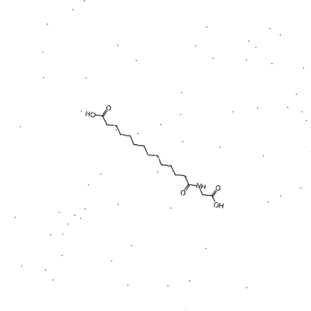 O=C(O)CCCCCCCCCCCCC(=O)NCC(=O)O